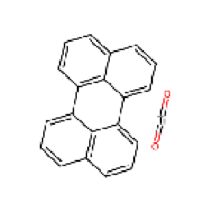 [O]=[Ti]=[O].c1cc2cccc3c4cccc5cccc(c(c1)c23)c54